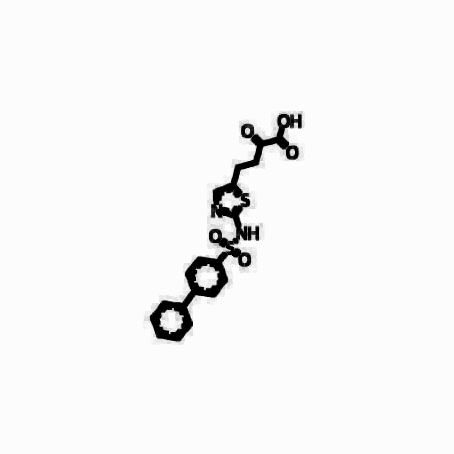 O=C(O)C(=O)CCc1cnc(NS(=O)(=O)c2ccc(-c3ccccc3)cc2)s1